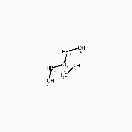 CC.OBOBO